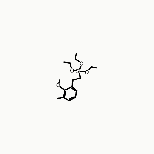 CCO[Si](CCc1cccc(C)c1OC)(OCC)OCC